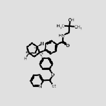 CCC(Oc1ccc([C@]2(c3ccc(C(=O)NCC(C)(C)O)cc3)C[C@@H]3CC[C@H]2C3)cc1)c1ccccn1